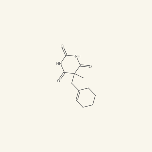 CC1(CC2=CCCCC2)C(=O)NC(=O)NC1=O